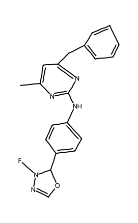 Cc1cc(Cc2ccccc2)nc(Nc2ccc(C3OC=NN3F)cc2)n1